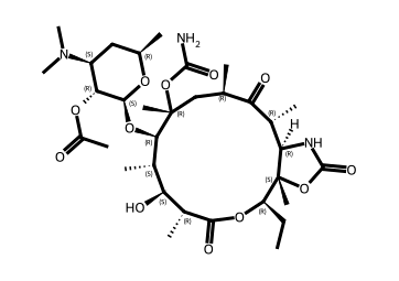 CC[C@H]1OC(=O)[C@H](C)[C@@H](O)[C@H](C)[C@@H](O[C@@H]2O[C@H](C)C[C@H](N(C)C)[C@H]2OC(C)=O)[C@](C)(OC(N)=O)C[C@@H](C)C(=O)[C@H](C)[C@H]2NC(=O)O[C@@]21C